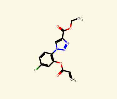 C=CC(=O)Oc1cc(Cl)ccc1-n1cc(C(=O)OCC)nn1